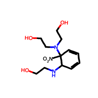 O=[N+]([O-])C1(N(CCO)CCO)C=CC=CC1NCCO